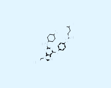 CCn1cnc2c(Nc3ccc(S(=O)(=O)NCCC(C)C)cc3)nc(NC3CCC(N)CC3)nc21